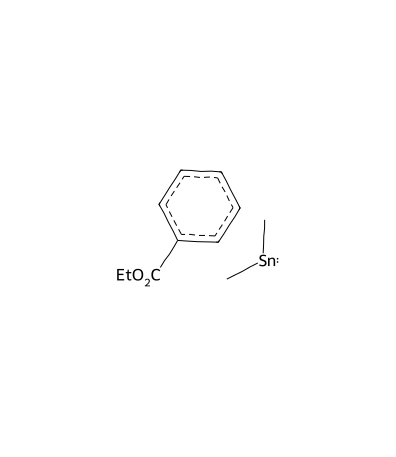 CCOC(=O)c1ccccc1.[CH3][Sn][CH3]